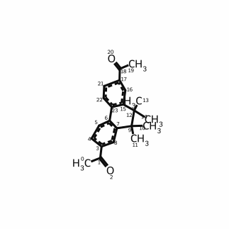 CC(=O)c1ccc2c(c1)C(C)(C)C(C)(C)c1cc(C(C)=O)ccc1-2